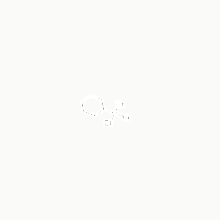 CCP(=O)(CC)C1CCCCC1